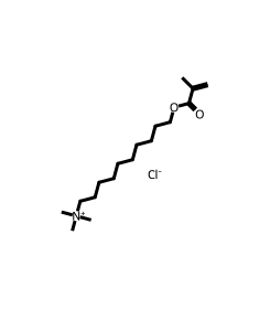 C=C(C)C(=O)OCCCCCCCCCC[N+](C)(C)C.[Cl-]